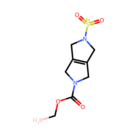 BCOC(=O)N1CC2=C(C1)CN([SH](=O)=O)C2